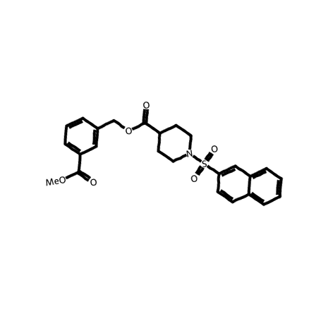 COC(=O)c1cccc(COC(=O)C2CCN(S(=O)(=O)c3ccc4ccccc4c3)CC2)c1